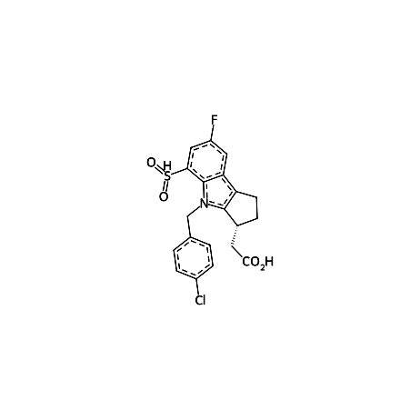 O=C(O)C[C@H]1CCc2c1n(Cc1ccc(Cl)cc1)c1c([SH](=O)=O)cc(F)cc21